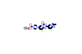 Cc1cn2cc(-c3nc(=O)n4cc(N5CCN(C(=O)OC(C)(C)C)CC5)cc(F)c4n3)cc(F)c2n1